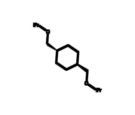 CC(C)OC[C@H]1CC[C@H](COC(C)C)CC1